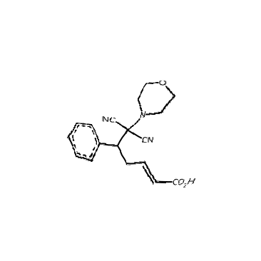 N#CC(C#N)(C(C/C=C/C(=O)O)c1ccccc1)N1CCOCC1